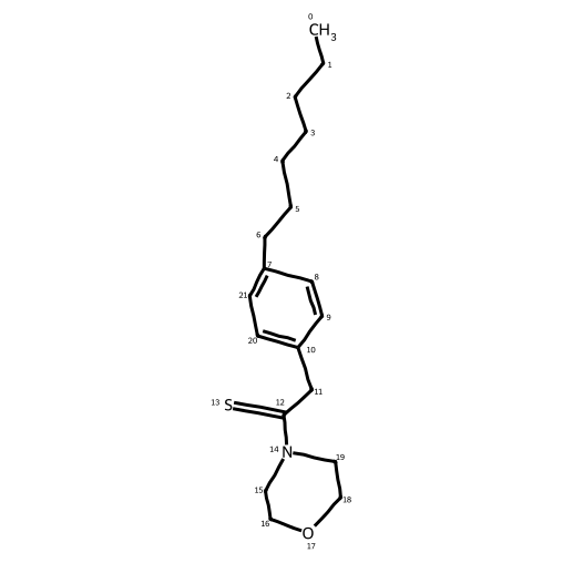 CCCCCCCc1ccc(CC(=S)N2CCOCC2)cc1